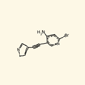 Nc1cc(Br)ncc1C#CC1=CCN=C1